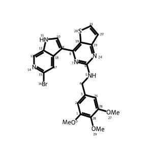 COc1cc(CNc2nc(-c3c[nH]c4cnc(Br)cc34)c3sccc3n2)cc(OC)c1OC